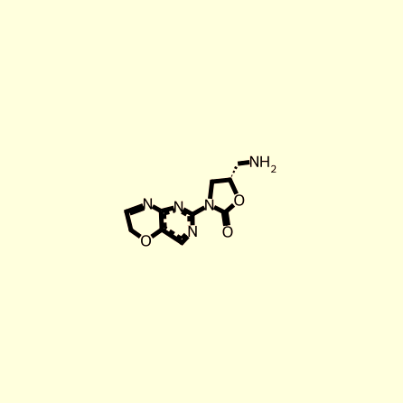 NC[C@H]1CN(c2ncc3c(n2)N=CCO3)C(=O)O1